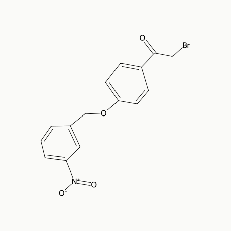 O=C(CBr)c1ccc(OCc2cccc([N+](=O)[O-])c2)cc1